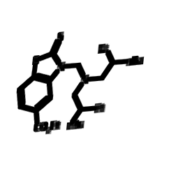 CCCCC(CC)CN(CC(CC)CCCC)Cn1c(=S)sc2ccc(C(=O)OCC)cc21